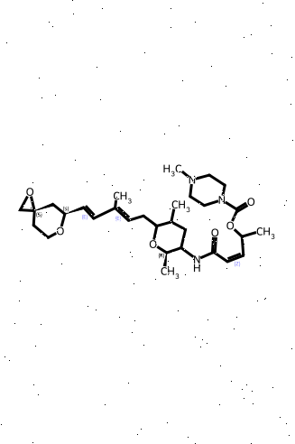 CC(/C=C/[C@@H]1C[C@@]2(CCO1)CO2)=C\CC1O[C@H](C)C(NC(=O)/C=C\C(C)OC(=O)N2CCN(C)CC2)CC1C